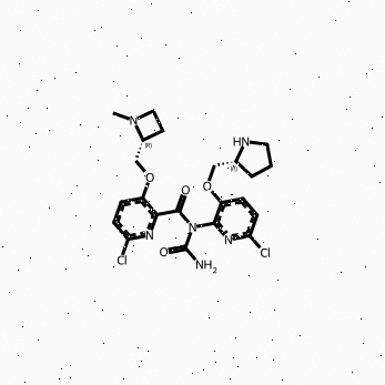 CN1CC[C@@H]1COc1ccc(Cl)nc1C(=O)N(C(N)=O)c1nc(Cl)ccc1OC[C@H]1CCCN1